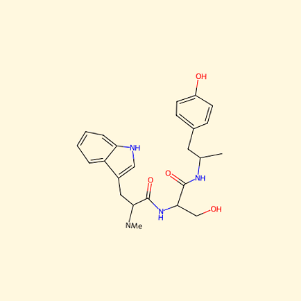 CNC(Cc1c[nH]c2ccccc12)C(=O)NC(CO)C(=O)NC(C)Cc1ccc(O)cc1